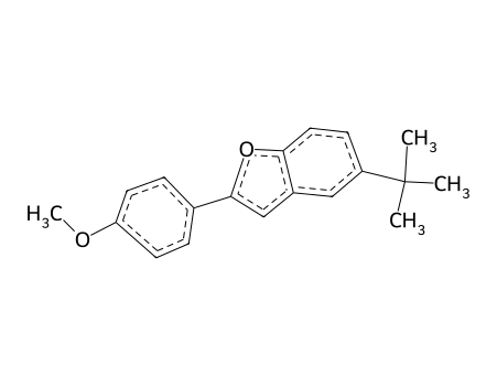 COc1ccc(-c2cc3cc(C(C)(C)C)ccc3o2)cc1